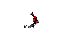 CN/C=C(\C=N)COc1cc(C)n([C@H](C)c2ccc(C#CC3CC3)cc2)c(=O)c1